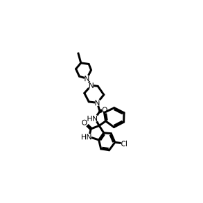 CC1CCN(N2CCN(C(=O)NC3(c4ccccc4)C(=O)Nc4ccc(Cl)cc43)CC2)CC1